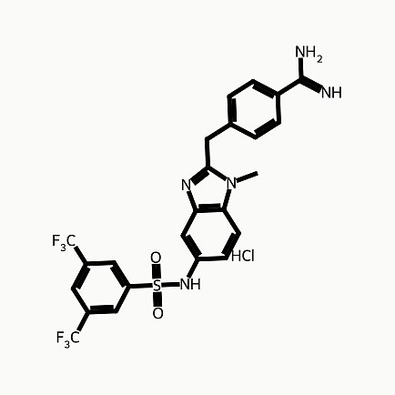 Cl.Cn1c(Cc2ccc(C(=N)N)cc2)nc2cc(NS(=O)(=O)c3cc(C(F)(F)F)cc(C(F)(F)F)c3)ccc21